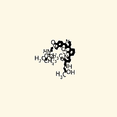 COc1nc(-c2cccc(-c3ccnc(-c4ccc5c(c4)CN(CCNC(=O)OC(C)(C)C)C5=O)c3Cl)c2Cl)ccc1CNCC(C)O